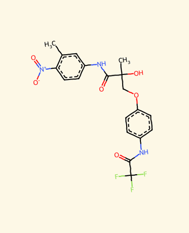 Cc1cc(NC(=O)C(C)(O)COc2ccc(NC(=O)C(F)(F)F)cc2)ccc1[N+](=O)[O-]